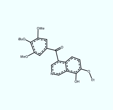 CCOc1ccc2c(C(=O)c3cc(OC)c(OCC(C)C)c(OC)c3)cncc2c1O